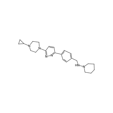 c1cc(-c2ccc(N3CCN(C4CC4)CC3)nn2)ccc1CNN1CCCCC1